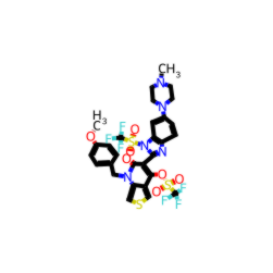 COc1ccc(Cn2c(=O)c(-c3nc4ccc(N5CCN(C)CC5)cc4n3S(=O)(=O)C(F)(F)F)c(OS(=O)(=O)C(F)(F)F)c3cscc32)cc1